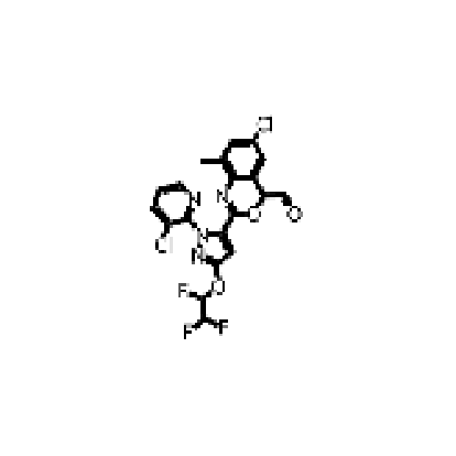 Cc1cc(Cl)cc2c1N=C(c1cc(OC(F)C(F)F)nn1-c1ncccc1Cl)OC2C=O